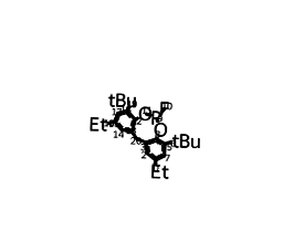 CCc1cc2c(c(C(C)(C)C)c1)OP(F)Oc1c(cc(CC)cc1C(C)(C)C)C2